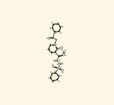 O=C(C[n+]1cccc(C(=O)NNS(=O)(=O)c2ccccc2)c1Cl)c1ccccc1.[Br-]